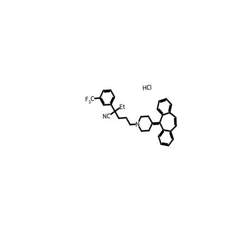 CCC(C#N)(CCCN1CCC(=C2c3ccccc3C=Cc3ccccc32)CC1)c1cccc(C(F)(F)F)c1.Cl